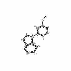 CSc1ccnc(-n2ccc3ccccc32)n1